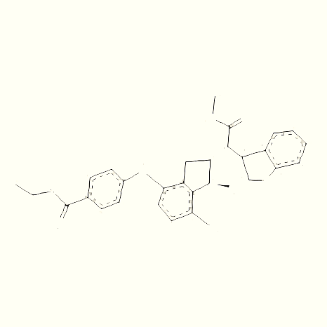 CCNC(=O)c1ccc(Oc2ccc(F)c3c2CC[C@H]3O[C@H]2Oc3ccccc3C2CC(=O)OC)cc1